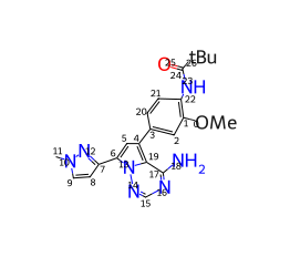 COc1cc(-c2cc(-c3ccn(C)n3)n3ncnc(N)c23)ccc1NC(=O)C(C)(C)C